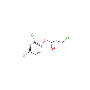 OC(CCCl)Oc1ccc(Cl)cc1Cl